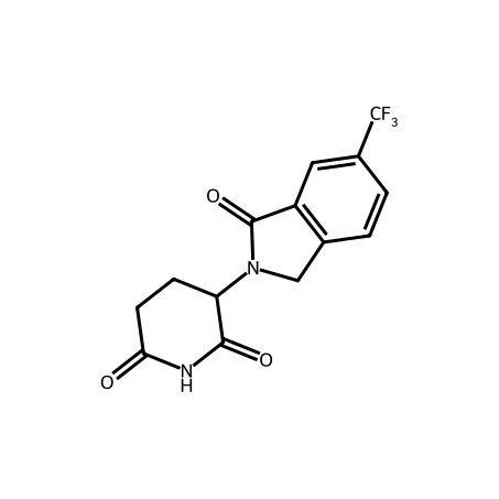 O=C1CCC(N2Cc3ccc(C(F)(F)F)cc3C2=O)C(=O)N1